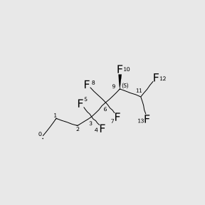 [CH2]CCC(F)(F)C(F)(F)[C@@H](F)C(F)F